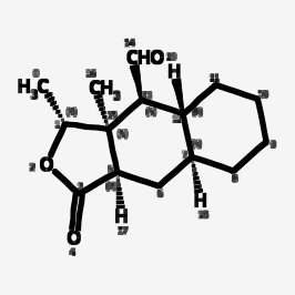 C[C@H]1OC(=O)[C@@H]2C[C@@H]3CCCC[C@H]3[C@H](C=O)[C@]12C